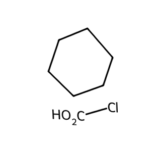 C1CCCCC1.O=C(O)Cl